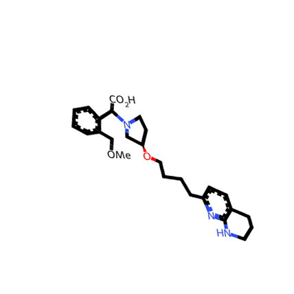 COCc1ccccc1C(C(=O)O)N1CC[C@@H](OCCCCc2ccc3c(n2)NCCC3)C1